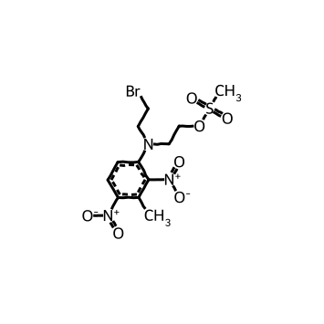 Cc1c([N+](=O)[O-])ccc(N(CCBr)CCOS(C)(=O)=O)c1[N+](=O)[O-]